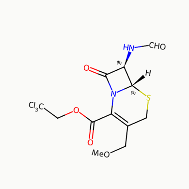 COCC1=C(C(=O)OCC(Cl)(Cl)Cl)N2C(=O)[C@@H](NC=O)[C@@H]2SC1